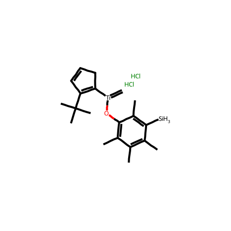 Cl.Cl.[CH2]=[Ti]([O]c1c(C)c(C)c(C)c([SiH3])c1C)[C]1=C(C(C)(C)C)C=CC1